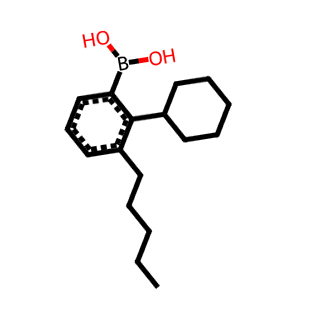 CCCCCc1cccc(B(O)O)c1C1CCCCC1